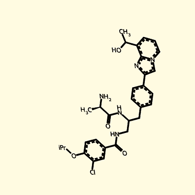 CC(C)Oc1ccc(C(=O)NCC(Cc2ccc(-c3cn4cccc(C(C)O)c4n3)cc2)NC(=O)[C@@H](C)N)cc1Cl